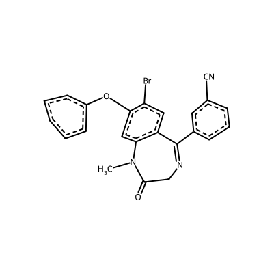 CN1C(=O)CN=C(c2cccc(C#N)c2)c2cc(Br)c(Oc3ccccc3)cc21